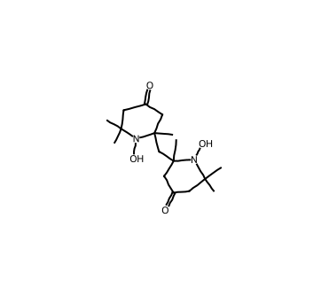 CC1(C)CC(=O)CC(C)(CC2(C)CC(=O)CC(C)(C)N2O)N1O